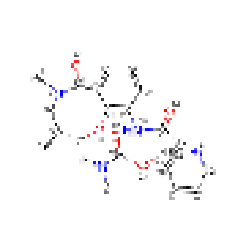 CC(C)N1C[C@H](C)[C@@H](CN(C)C(=O)OC(C)(C)C)Oc2c(NC(=O)c3ccccn3)cccc2C1=O